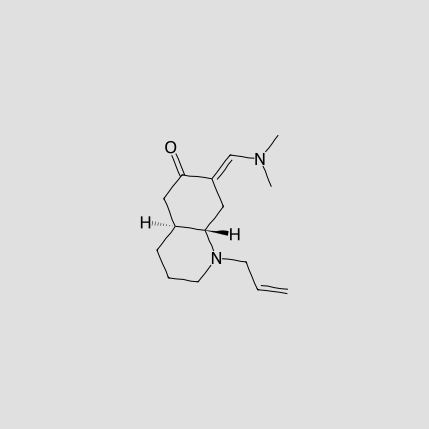 C=CCN1CCC[C@H]2CC(=O)/C(=C/N(C)C)C[C@@H]21